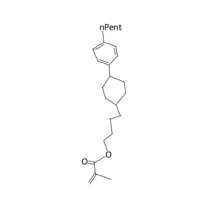 C=C(C)C(=O)OCCCCC1CCC(c2ccc(CCCCC)cc2)CC1